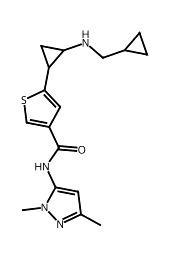 Cc1cc(NC(=O)c2csc(C3CC3NCC3CC3)c2)n(C)n1